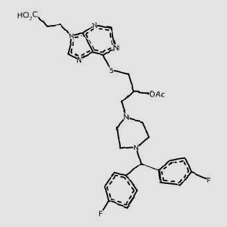 CC(=O)OC(CSc1ncnc2c1ncn2CCC(=O)O)CN1CCN(C(c2ccc(F)cc2)c2ccc(F)cc2)CC1